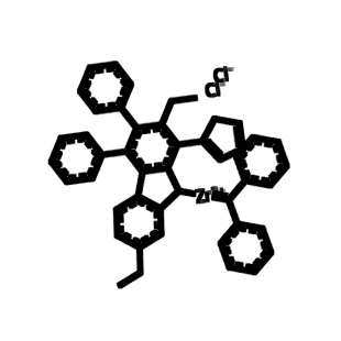 CCc1ccc2c(c1)[CH]([Zr+2]=[C](c1ccccc1)c1ccccc1)c1c(C3=CC=CC3)c(CC)c(-c3ccccc3)c(-c3ccccc3)c1-2.[Cl-].[Cl-]